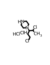 CC(Cl)C(CCCl)N1CCNCC1.Cl.Cl